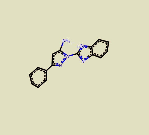 Nc1cc(-c2ccccc2)nn1-c1nc2ccccc2[nH]1